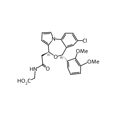 COc1cccc([C@@H]2O[C@@H](CC(=O)NCC(=O)O)c3cccn3-c3ccc(Cl)cc32)c1OC